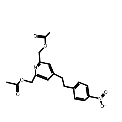 CC(=O)OCc1cc(CCc2ccc([N+](=O)[O-])cc2)cc(COC(C)=O)n1